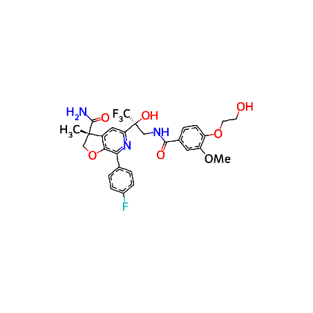 COc1cc(C(=O)NC[C@](O)(c2cc3c(c(-c4ccc(F)cc4)n2)OC[C@]3(C)C(N)=O)C(F)(F)F)ccc1OCCO